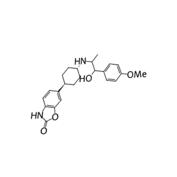 COc1ccc(C(O)C(C)N[C@H]2CC[C@H](c3ccc4[nH]c(=O)oc4c3)CC2)cc1